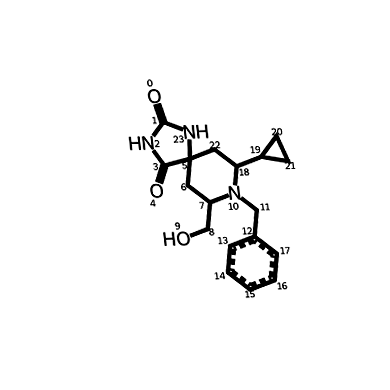 O=C1NC(=O)C2(CC(CO)N(Cc3ccccc3)C(C3CC3)C2)N1